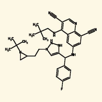 CC(C)(C)CNc1c(C#N)cnc2c(C#N)cc(NC(C3=CN(CCC4CN4C(C)(C)C)NN3)c3ccc(F)cc3)cc12